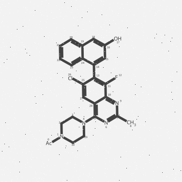 CC(=O)N1CCN(c2nc(C)nc3c(F)c(-c4cc(O)cc5ccccc45)c(Cl)cc23)CC1